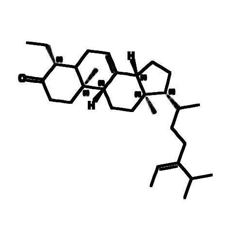 CC=C(CCC(C)[C@H]1CC[C@H]2C3=CCC4[C@@H](CC)C(=O)CC[C@]4(C)[C@H]3CC[C@]12C)C(C)C